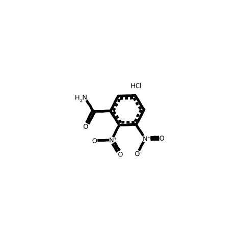 Cl.NC(=O)c1cccc([N+](=O)[O-])c1[N+](=O)[O-]